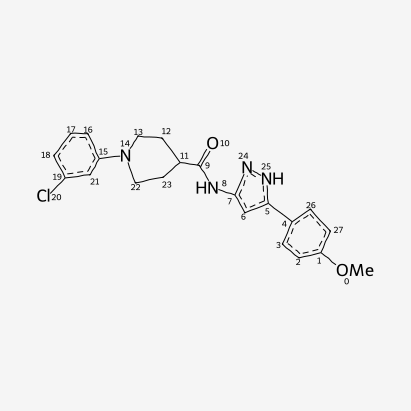 COc1ccc(-c2cc(NC(=O)C3CCN(c4cccc(Cl)c4)CC3)n[nH]2)cc1